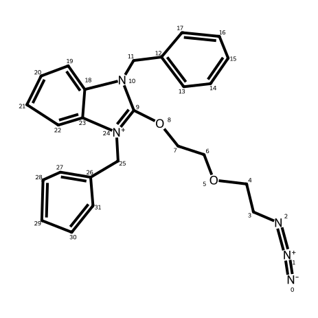 [N-]=[N+]=NCCOCCOc1n(Cc2ccccc2)c2ccccc2[n+]1Cc1ccccc1